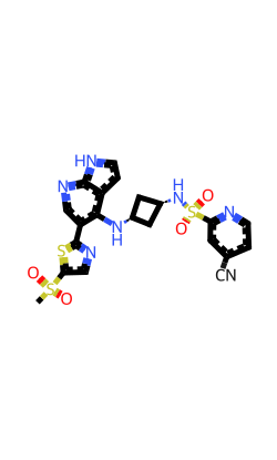 CS(=O)(=O)c1cnc(-c2cnc3[nH]ccc3c2N[C@H]2C[C@@H](NS(=O)(=O)c3cc(C#N)ccn3)C2)s1